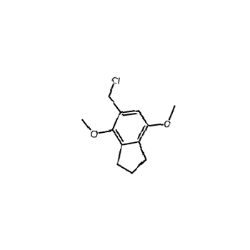 COc1cc(CCl)c(OC)c2c1CCC2